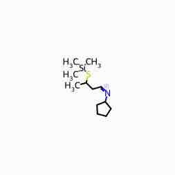 CC(C/C=N\C1CCCC1)S[Si](C)(C)C